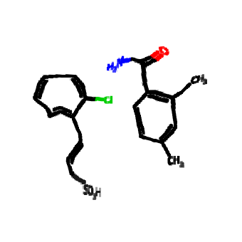 Cc1ccc(C(N)=O)c(C)c1.O=S(=O)(O)/C=C/c1ccccc1Cl